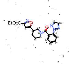 CCOC(=O)c1cc([C@@H]2CCCN(C(=O)c3ccccc3-n3nccn3)C2)on1